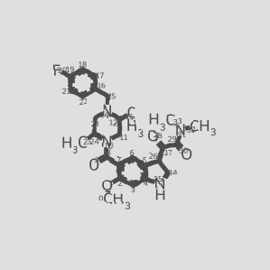 COc1cc2c(cc1C(=O)N1CC(C)N(Cc3ccc(F)cc3)CC1C)C(C(=O)C(=O)N(C)C)CN2